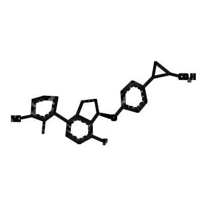 Cc1c(C#N)cccc1-c1ccc(F)c2c1CC[C@H]2Oc1ccc(C2CC2C(=O)O)cc1